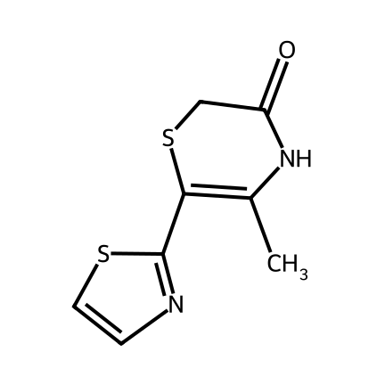 CC1=C(c2nccs2)SCC(=O)N1